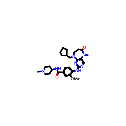 COc1cc(C(=O)NC2CCN(C)CC2)ccc1Nc1ncc2c(n1)N(CC1CCCC1)CCC(=O)N2C